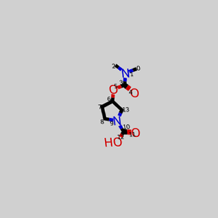 CN(C)C(=O)OC1CCN(C(=O)O)C1